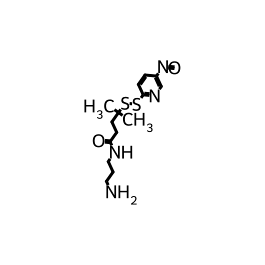 CC(C)(CCC(=O)NCCCN)SSc1ccc(N=O)cn1